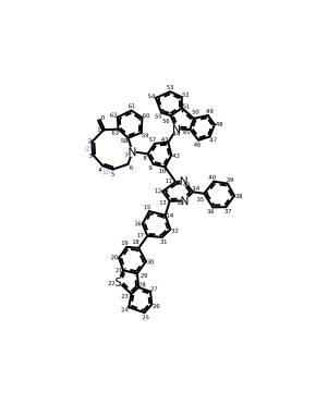 C=C1/C=C\C=C/CN(c2cc(-c3cc(-c4ccc(-c5ccc6sc7ccccc7c6c5)cc4)nc(-c4ccccc4)n3)cc(-n3c4ccccc4c4ccccc43)c2)c2ccccc21